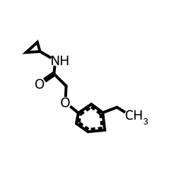 CCc1cccc(OCC(=O)NC2CC2)c1